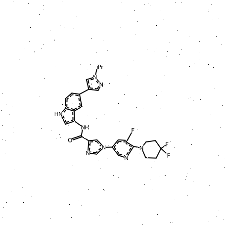 CC(C)n1cc(-c2ccc3[nH]cc(NC(=O)c4cn(-c5cnc(N6CCC(F)(F)CC6)c(F)c5)cn4)c3c2)cn1